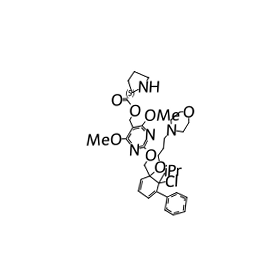 COc1nc(OCC2(OCCCN3CCOCC3)C=CC=C(c3ccccc3)C2(Cl)C(C)C)nc(OC)c1COC(=O)[C@@H]1CCCN1